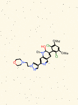 CCN1c2cc(-c3cnn(CCN4CCOCC4)c3)ncc2C=C(c2c(Cl)c(OC)cc(OC)c2Cl)C1O